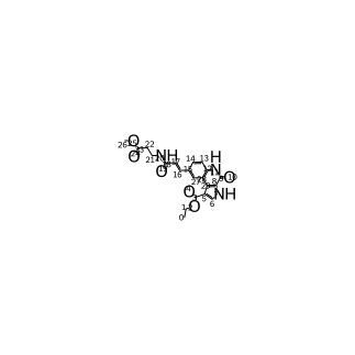 CCOC(=O)c1c[nH]c2c(=O)[nH]c3ccc(C=CC(=O)NCCC(=O)OC)cc3c12